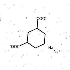 O=C([O-])C1CCCC(C(=O)[O-])C1.[Na+].[Na+]